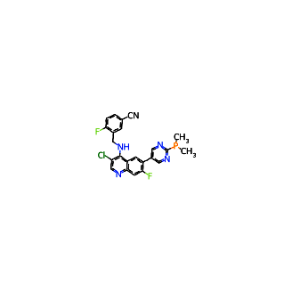 CP(C)c1ncc(-c2cc3c(NCc4cc(C#N)ccc4F)c(Cl)cnc3cc2F)cn1